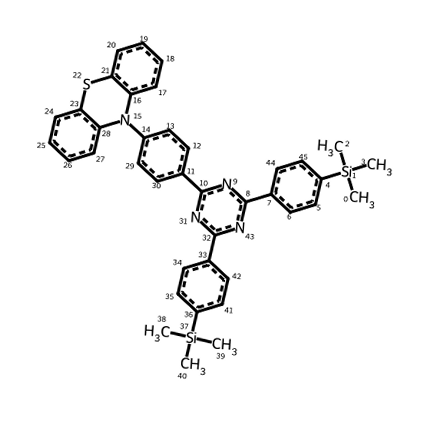 C[Si](C)(C)c1ccc(-c2nc(-c3ccc(N4c5ccccc5Sc5ccccc54)cc3)nc(-c3ccc([Si](C)(C)C)cc3)n2)cc1